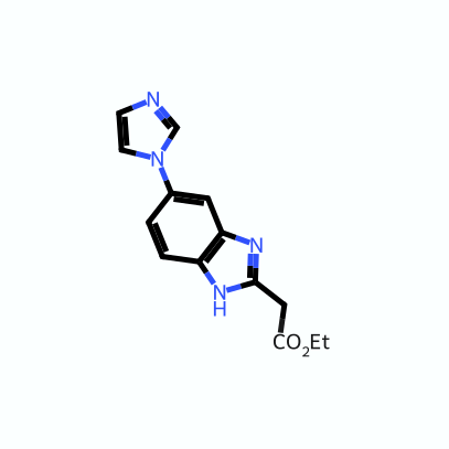 CCOC(=O)Cc1nc2cc(-n3ccnc3)ccc2[nH]1